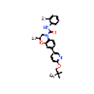 CCc1ccccc1NC(=O)N1CC(CC)Oc2cc(-c3ccc(OCC(C)(C)C(C)=O)nc3)ccc21